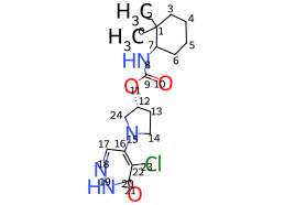 CC1(C)CCCCC1NC(=O)O[C@@H]1CCN(c2cn[nH]c(=O)c2Cl)C1